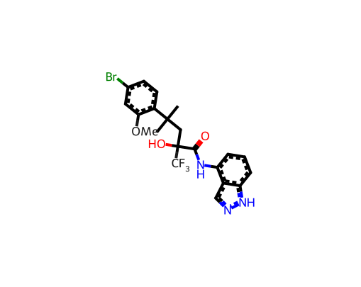 COc1cc(Br)ccc1C(C)(C)CC(O)(C(=O)Nc1cccc2[nH]ncc12)C(F)(F)F